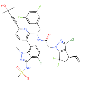 C=C[C@H]1CC(F)(F)c2c1c(Cl)nn2CC(=O)N[C@@H](Cc1cc(F)cc(F)c1)c1nc(C#CC(C)(C)O)ccc1-c1ccc(Cl)c2c(NS(C)(=O)=O)nn(C)c12